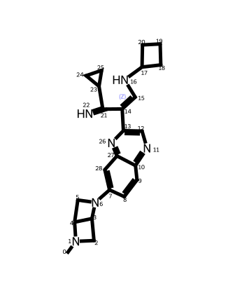 CN1CC2C1CN2c1ccc2ncc(/C(=C/NC3CCC3)C(=N)C3CC3)nc2c1